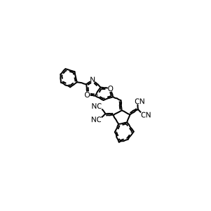 N#CC(C#N)=C1C(=Cc2cc3oc(-c4ccccc4)nc3o2)C(=C(C#N)C#N)c2ccccc21